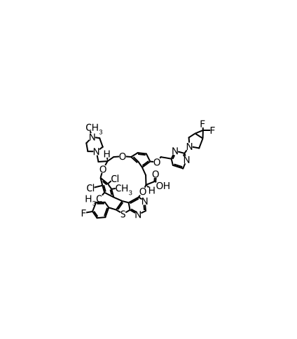 Cc1c(Cl)c2c(Cl)c(C)c1-c1c(-c3ccc(F)cc3)sc3ncnc(c13)O[C@@H](C(=O)O)Cc1cc(ccc1OCc1ccnc(N3CC4C(C3)C4(F)F)n1)OC[C@@H](CN1CCN(C)CC1)O2